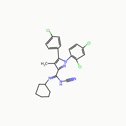 Cc1c(C(=NC2CCCCC2)NC#N)nn(-c2ccc(Cl)cc2Cl)c1-c1ccc(Cl)cc1